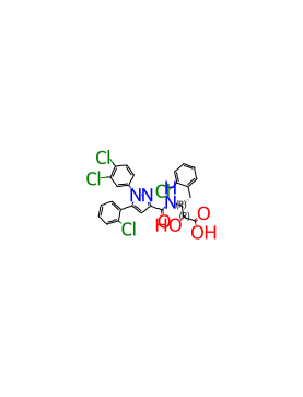 O=C(N[C@H](Cc1ccccc1Cl)[C@@H](O)C(=O)O)c1cc(-c2ccccc2Cl)n(-c2ccc(Cl)c(Cl)c2)n1